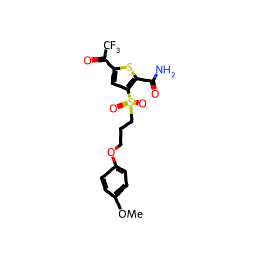 COc1ccc(OCCCS(=O)(=O)c2cc(C(=O)C(F)(F)F)sc2C(N)=O)cc1